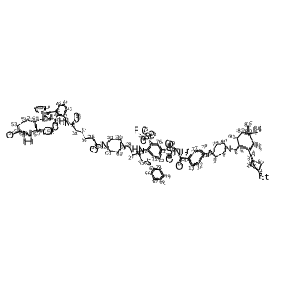 CCC12CC(C3=C(CN4CCN(c5ccc(C(=O)NS(=O)(=O)c6ccc(N[C@H](CCN7CCN(C(=O)CCCCC(=O)Nc8cccc9c8C(=O)N(C8CCC(=O)NC8=O)C9=O)CC7)CSc7ccccc7)c(S(=O)(=O)C(F)(F)F)c6)cc5)CC4)CCC(C)(C)C3)(C1)C2